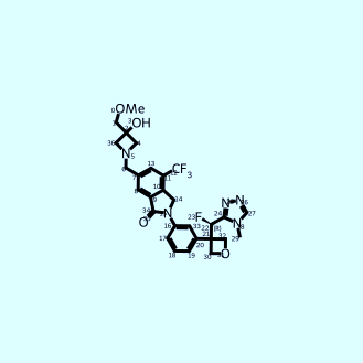 COCC1(O)CN(Cc2cc3c(c(C(F)(F)F)c2)CN(c2cccc(C4([C@@H](F)c5nncn5C)COC4)c2)C3=O)C1